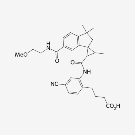 COCCNC(=O)c1ccc2c(c1)C1(CC2(C)C)C(C)C1C(=O)Nc1cc(C#N)ccc1CCCC(=O)O